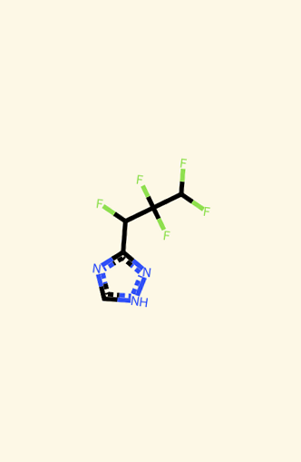 FC(F)C(F)(F)C(F)c1nc[nH]n1